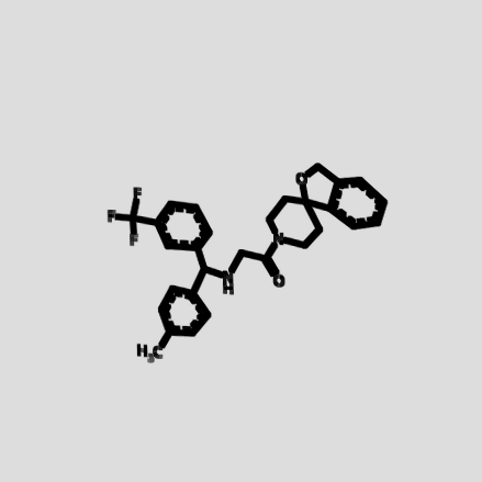 Cc1ccc(C(NCC(=O)N2CCC3(CC2)OCc2ccccc23)c2cccc(C(F)(F)F)c2)cc1